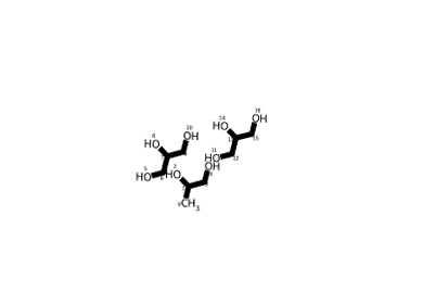 CC(O)CO.OCC(O)CO.OCC(O)CO